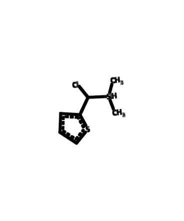 C[SiH](C)C(Cl)c1cccs1